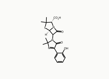 CC1(C)S[C@@H]2C(N3C(=O)C(c4ccccc4O)=NC3(C)C)C(=O)N2[C@H]1C(=O)O